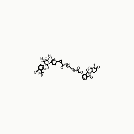 CC1(C)C(=O)N(c2ccc(C#N)c(C(F)(F)F)c2F)C(=S)N1c1ccc(C2CC2C(=O)NCCCCNC(=O)COc2cccc3c2C(=O)N(C2CCC(=O)NC2=O)C3=O)nc1